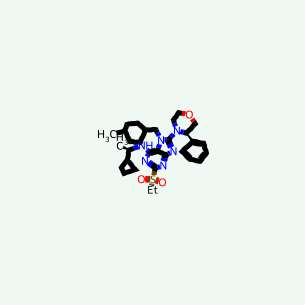 CCS(=O)(=O)c1nc(N[C@H](C)C2CCC2)c2c(n1)nc(N1CCOC[C@H]1c1ccccc1)n2CC1CCC(C)CC1